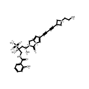 C[C@](CNC(=O)c1ccccc1O)(C[C@@H](O)N1Cc2cc(C#CC#CC3CN(CCO)C3)cn2C1=O)S(C)(=O)=O